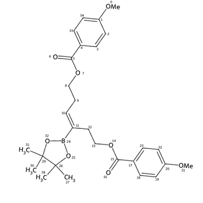 COc1ccc(C(=O)OCCC=C(CCOC(=O)c2ccc(OC)cc2)B2OC(C)(C)C(C)(C)O2)cc1